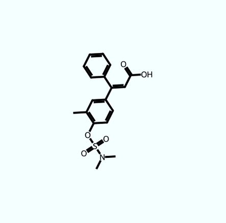 Cc1cc(/C(=C/C(=O)O)c2ccccc2)ccc1OS(=O)(=O)N(C)C